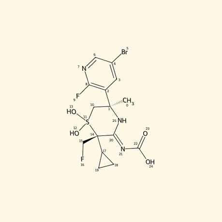 C[C@@]1(c2cc(Br)cnc2F)CS(O)(O)[C@@](CF)(C2CC2)C(=NC(=O)O)N1